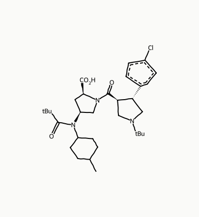 CC1CCC(N(C(=O)C(C)(C)C)[C@H]2C[C@@H](C(=O)O)N(C(=O)[C@@H]3CN(C(C)(C)C)C[C@H]3c3ccc(Cl)cc3)C2)CC1